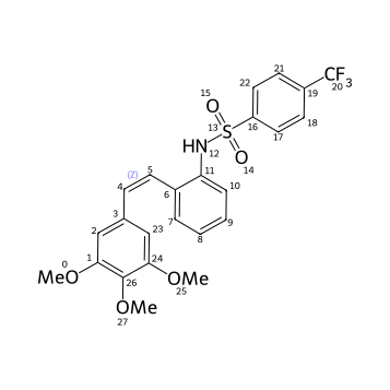 COc1cc(/C=C\c2ccccc2NS(=O)(=O)c2ccc(C(F)(F)F)cc2)cc(OC)c1OC